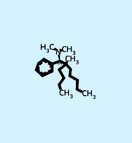 CCCCCC(C)(CCCC)[C@@H](c1ccccc1)N(C)C